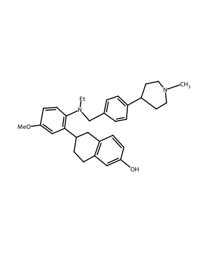 CCN(Cc1ccc(C2CCN(C)CC2)cc1)c1ccc(OC)cc1C1CCc2cc(O)ccc2C1